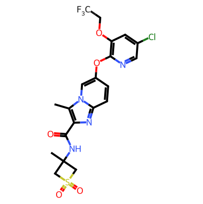 Cc1c(C(=O)NC2(C)CS(=O)(=O)C2)nc2ccc(Oc3ncc(Cl)cc3OCC(F)(F)F)cn12